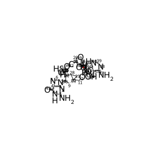 Nc1nc2c(ncn2[C@@H]2C[C@]34COP(=O)(O)O[C@H]5[C@H]6OC[C@]5(CO[P@@](=O)(S)[C@@H]2C3C4)O[C@H]6n2cnc3c(N)ncnc32)c(=O)[nH]1